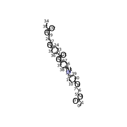 C=CC(=O)OCCCOc1ccc(/C=N/c2ccc(OC(=O)c3ccc(OCCCOC(=O)C=C)cc3)cc2)cc1